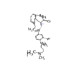 Cc1cccc2c1/C(=C\Nc1ccc(NCCN(C)C)c(F)c1)C(=O)N2